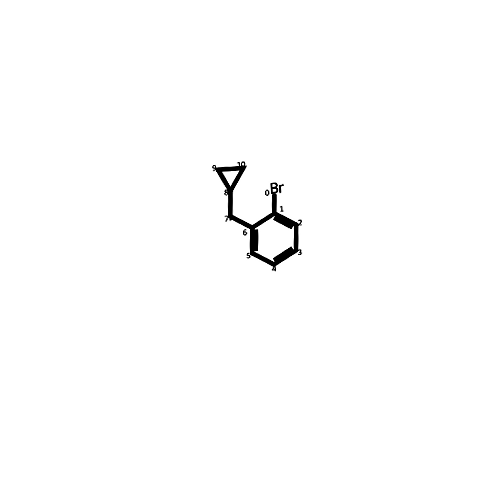 Brc1ccccc1[CH]C1CC1